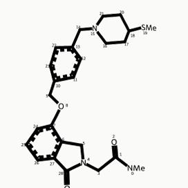 CNC(=O)CN1Cc2c(OCc3ccc(CN4CCC(SC)CC4)cc3)cccc2C1=O